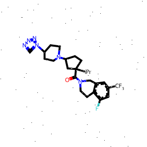 CC(C)C1(C(=O)N2CCc3c(F)cc(C(F)(F)F)cc3C2)CCC(N2CCC(n3cnnn3)CC2)C1